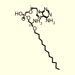 CCCCCCCCCCCCCCOC[C@H](N)COP(=O)(O)CO[C@H](C)Cn1cnc2c(N)ncnc21